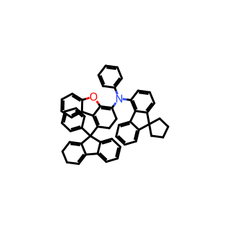 C1=C2C(=CCC1)C(C1=c3c(oc4ccccc34)=C(N(c3ccccc3)c3cccc4c3-c3ccccc3C43CCCC3)CC1)(c1ccccc1)c1ccccc12